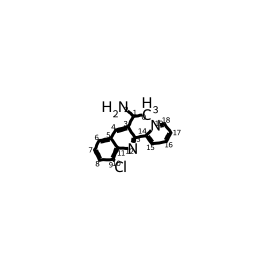 CC(N)c1cc2cccc(Cl)c2nc1-c1ccccn1